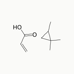 C=CC(=O)O.CC1CC1(C)C